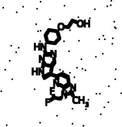 Cc1nc2ccc(-c3c[nH]c4nc(N[C@H]5CC[C@H](OCCO)CC5)ncc34)nc2n1CC(F)F